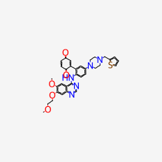 COCCOc1cc2ncnc(Nc3ccc(N4CCN(Cc5cccs5)CC4)cc3C3=CC(=O)C=CC3=O)c2cc1OC